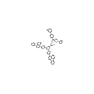 CC/C=C(\CCCN(C1=CCC(c2cccnc2)C=C1)c1ccc(-c2cccnc2)cc1)C1=CC(c2ccc(-c3ccc4c5c(cccc35)-c3ccccc3-4)cc2)=CC(c2ccc(-c3ccc4c5c(cccc35)-c3ccccc3-4)cc2)C1